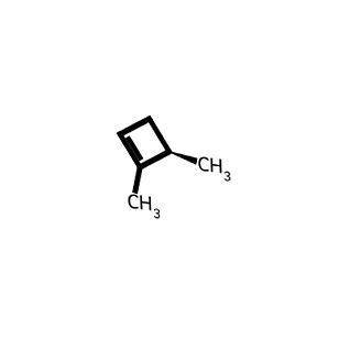 CC1=CC[C@H]1C